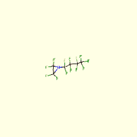 FC(F)(F)C(F)(F)C(F)(F)C(F)(F)N1C(F)(F)C1(F)F